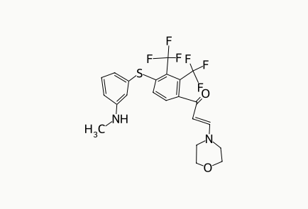 CNc1cccc(Sc2ccc(C(=O)C=CN3CCOCC3)c(C(F)(F)F)c2C(F)(F)F)c1